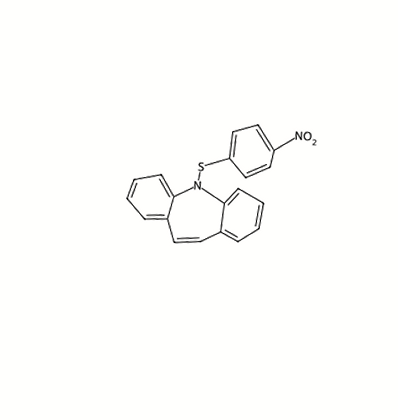 O=[N+]([O-])c1ccc(SN2c3ccccc3C=Cc3ccccc32)cc1